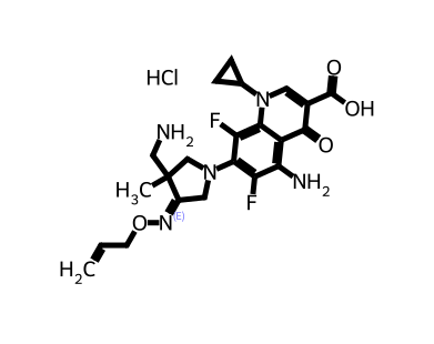 C=CCO/N=C1/CN(c2c(F)c(N)c3c(=O)c(C(=O)O)cn(C4CC4)c3c2F)CC1(C)CN.Cl